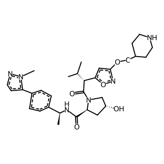 CC(C)[C@@H](C(=O)N1C[C@H](O)C[C@H]1C(=O)N[C@@H](C)c1ccc(-c2ccnn2C)cc1)c1cc(OCC2CCNCC2)no1